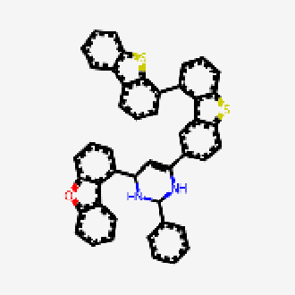 C1=C(c2ccc3sc4cccc(-c5cccc6c5sc5ccccc56)c4c3c2)NC(c2ccccc2)NC1c1cccc2oc3ccccc3c12